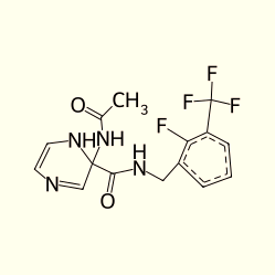 CC(=O)NC1(C(=O)NCc2cccc(C(F)(F)F)c2F)C=NC=CN1